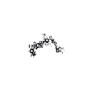 Cc1cc(C(=O)C2CN(OCCCN(C)C)C2)cc(C)c1/C=C/S(=O)(=O)N1CCC2(CC1)N=C(c1cccc(C(F)(F)F)c1)NC2=O